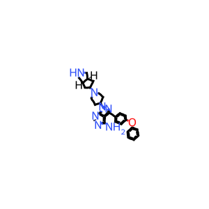 Nc1ncnc2c1c(-c1ccc(Oc3ccccc3)cc1)nn2C1CCN(C2C[C@H]3CNC[C@H]3C2)CC1